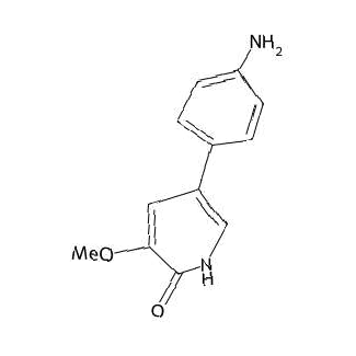 COc1cc(-c2ccc(N)cc2)c[nH]c1=O